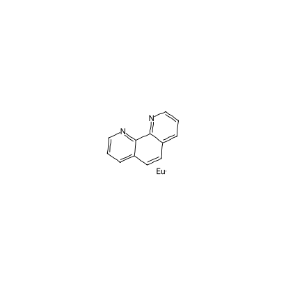 [Eu].c1cnc2c(c1)ccc1cccnc12